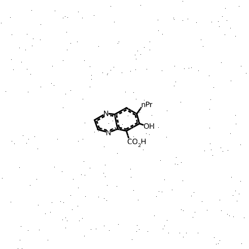 CCCc1cc2nccnc2c(C(=O)O)c1O